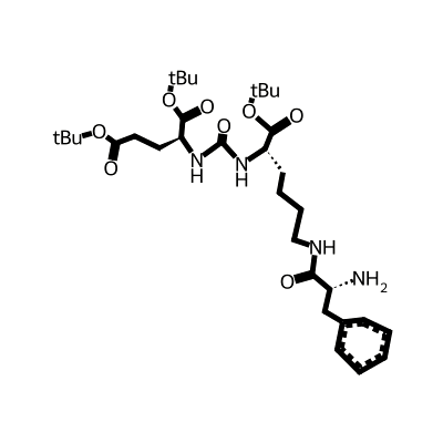 CC(C)(C)OC(=O)CC[C@H](NC(=O)N[C@@H](CCCCNC(=O)[C@H](N)Cc1ccccc1)C(=O)OC(C)(C)C)C(=O)OC(C)(C)C